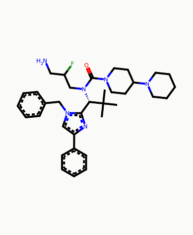 CC(C)(C)[C@H](c1nc(-c2ccccc2)cn1Cc1ccccc1)N(CC(F)CN)C(=O)N1CCC(N2CCCCC2)CC1